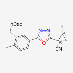 CCCCCCCCCCCc1cc(-c2nnc([C@]3(C#N)C[C@H]3C)o2)ccc1C